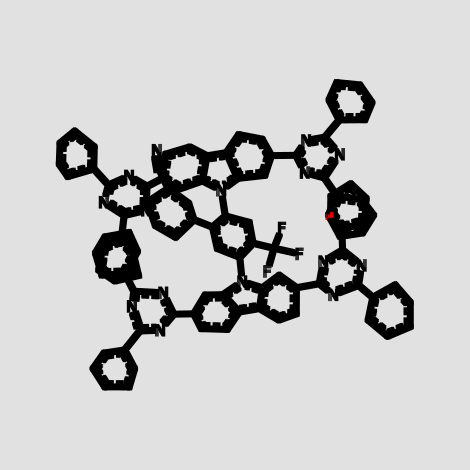 N#Cc1cccc(-c2cc(-n3c4cc(-c5nc(-c6ccccc6)nc(-c6ccccc6)n5)ccc4c4ccc(-c5nc(-c6ccccc6)nc(-c6ccccc6)n5)cc43)c(C(F)(F)F)cc2-n2c3cc(-c4nc(-c5ccccc5)nc(-c5ccccc5)n4)ccc3c3ccc(-c4nc(-c5ccccc5)nc(-c5ccccc5)n4)cc32)c1